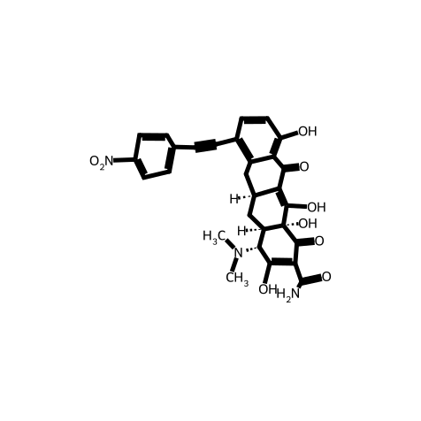 CN(C)[C@H]1C(O)=C(C(N)=O)C(=O)[C@]2(O)C(O)=C3C(=O)c4c(O)ccc(C#Cc5ccc([N+](=O)[O-])cc5)c4C[C@@H]3C[C@H]12